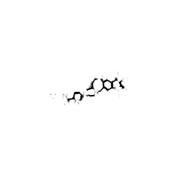 CCn1c(=O)[nH]c2cc3c(cc2c1=O)OCC[C@@H]1CN(c2ccc(C(=O)NC)nc2)CCN1C3